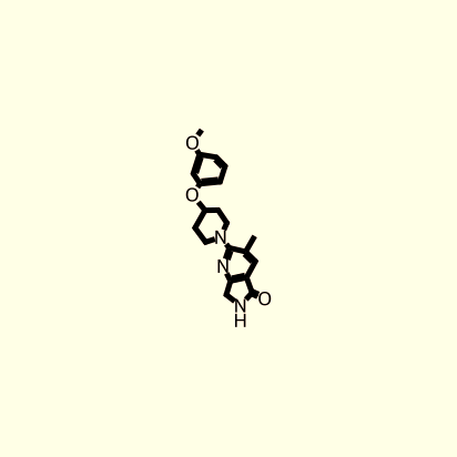 COc1cccc(OC2CCN(c3nc4c(cc3C)C(=O)NC4)CC2)c1